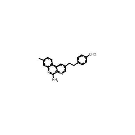 Cc1ccc2c(c1)nc(N)c1ncc(CCc3ccc(C=O)cc3)cc12